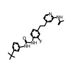 C=C(C)Nc1cc(CCc2ccc(NC(=O)Nc3cccc(C(C)(C)C)c3)c(F)c2)ccn1